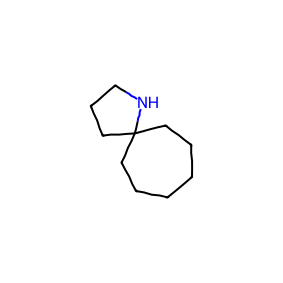 C1CCCC2(CC1)CCCN2